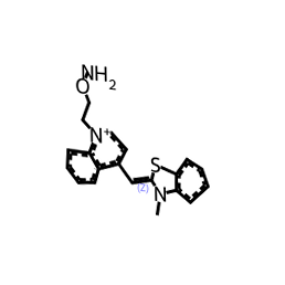 CN1/C(=C/c2cc[n+](CCON)c3ccccc23)Sc2ccccc21